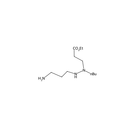 CCCCN(CCC(=O)OCC)NCCCN